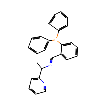 CC(/N=C/c1ccccc1P(c1ccccc1)c1ccccc1)c1ccccn1